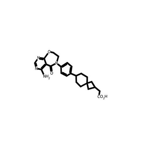 Nc1ncnc2c1C(=O)N(c1ccc(C3CCC4(CC3)CC(CC(=O)O)C4)cc1)CCO2